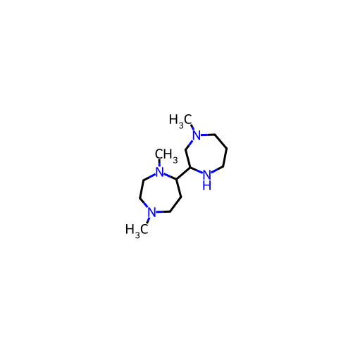 CN1CCC(C2CN(C)CCCN2)N(C)CC1